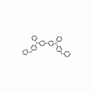 c1ccc(Cc2ccc(N(c3ccccc3)c3ccc(-c4ccc(N(c5ccccc5)c5ccc(Cc6ccccc6)cc5)cc4)cc3)cc2)cc1